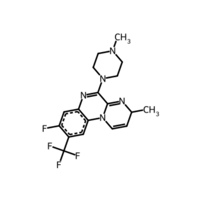 CC1C=CN2C(=N1)C(N1CCN(C)CC1)=Nc1cc(F)c(C(F)(F)F)cc12